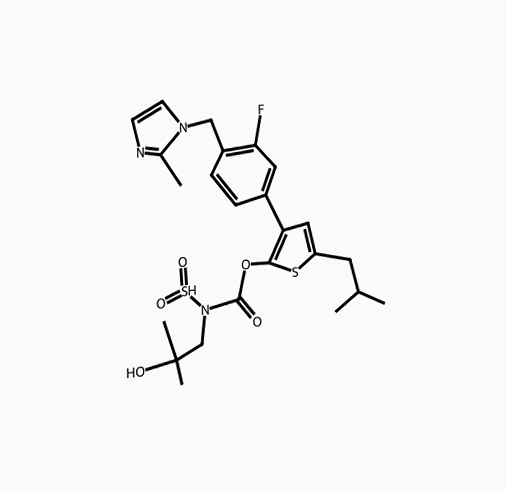 Cc1nccn1Cc1ccc(-c2cc(CC(C)C)sc2OC(=O)N(CC(C)(C)O)[SH](=O)=O)cc1F